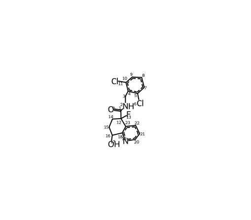 O=C(NCc1c(Cl)cccc1Cl)C1(F)CCC(O)c2ncccc21